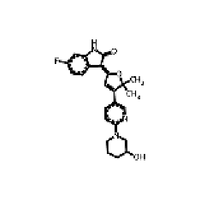 CC1(C)OC(=C2C(=O)Nc3cc(F)ccc32)C=C1c1ccc(N2CCCC(O)C2)nc1